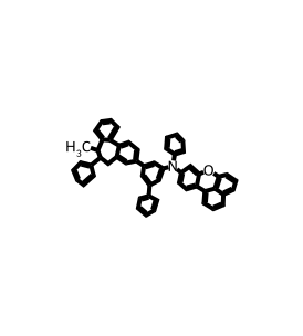 CC1c2ccccc2-c2ccc(-c3cc(-c4ccccc4)cc(N(c4ccccc4)c4ccc5c(c4)Oc4cccc6cccc-5c46)c3)cc2CC1c1ccccc1